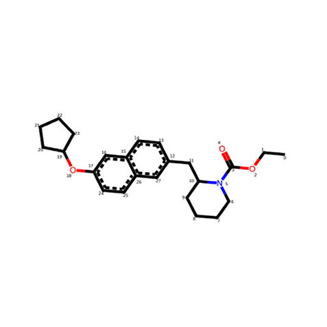 CCOC(=O)N1CCCCC1Cc1ccc2cc(OC3CCCC3)ccc2c1